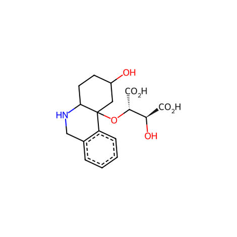 O=C(O)[C@@H](O)[C@H](OC12CC(O)CCC1NCc1ccccc12)C(=O)O